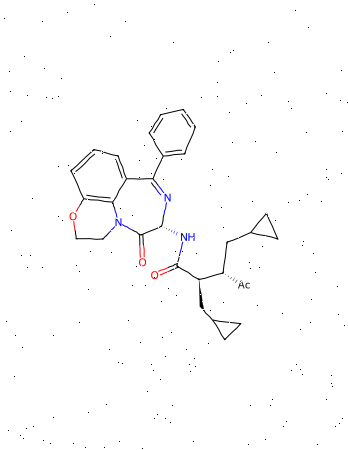 CC(=O)[C@@H](CC1CC1)[C@@H](CC1CC1)C(=O)N[C@H]1N=C(c2ccccc2)c2cccc3c2N(CCO3)C1=O